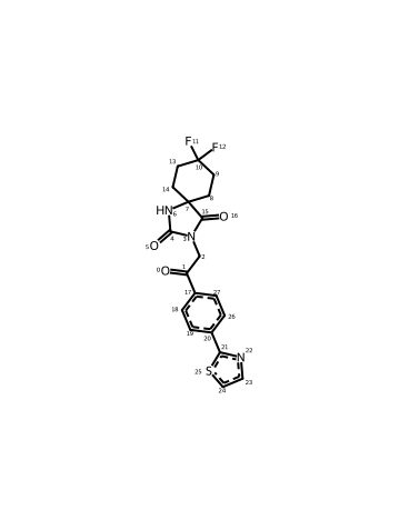 O=C(CN1C(=O)NC2(CCC(F)(F)CC2)C1=O)c1ccc(-c2nccs2)cc1